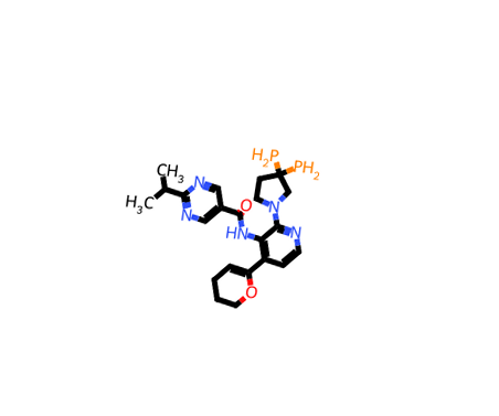 CC(C)c1ncc(C(=O)Nc2c(C3=CCCCO3)ccnc2N2CCC(P)(P)C2)cn1